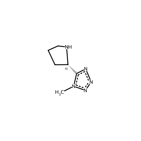 Cn1nnnc1[C@@H]1CCCN1